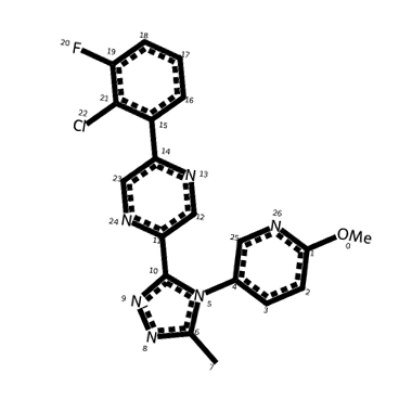 COc1ccc(-n2c(C)nnc2-c2cnc(-c3cccc(F)c3Cl)cn2)cn1